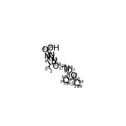 CC(C)c1cc2nc(C(=O)O)nn2nc1OCCCN1CCC(OC(c2ccccc2)c2ccccc2)CC1